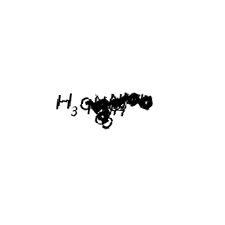 CCn1ncc2c(NC3CCOC(=O)C3)c(-c3nc(CN4CCN(c5ccccc5)CC4)no3)cnc21